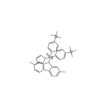 [CH2]=[Hf]([c]1ccc([Si](C)(C)C)cc1)([c]1ccc([Si](C)(C)C)cc1)([CH]1C=CC=C1)[CH]1c2cc(C)ccc2-c2ccc(C)cc21